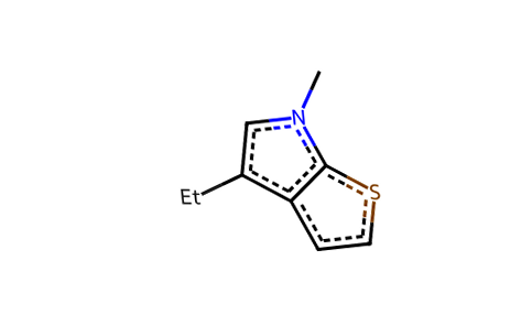 CCc1cn(C)c2sccc12